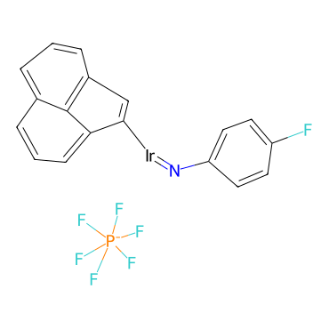 F[P-](F)(F)(F)(F)F.Fc1ccc([N]=[Ir][C]2=Cc3cccc4cccc2c34)cc1